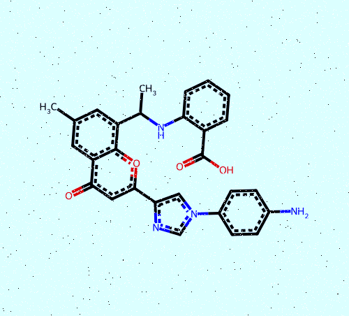 Cc1cc(C(C)Nc2ccccc2C(=O)O)c2oc(-c3cn(-c4ccc(N)cc4)cn3)cc(=O)c2c1